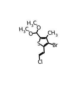 COC(OC)c1sc(C=CCl)c(Br)c1C